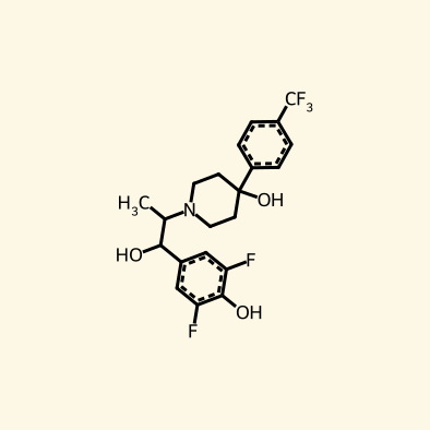 CC(C(O)c1cc(F)c(O)c(F)c1)N1CCC(O)(c2ccc(C(F)(F)F)cc2)CC1